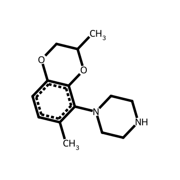 Cc1ccc2c(c1N1CCNCC1)OC(C)CO2